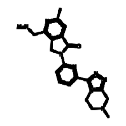 CNCc1nc(C)cc2c1CN(c1cccc(-c3nnc4n3CCN(C)C4)n1)C2=O